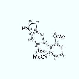 COc1cccc(OC)c1-c1cc2c(cc1C(C)(C)C)NCC2